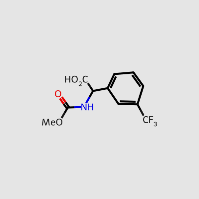 COC(=O)NC(C(=O)O)c1cccc(C(F)(F)F)c1